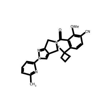 COc1c(C#N)ccc(C2(F)CCC2)c1C(=O)N1Cc2cn(-c3cccc(C)n3)nc2C1